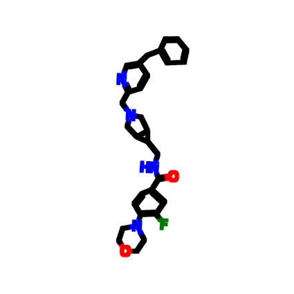 O=C(NCC1C2CN(Cc3ccc(Cc4ccccc4)cn3)CC12)c1ccc(N2CCOCC2)c(F)c1